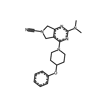 CN(C)c1nc2c(c(N3CCC(Oc4ccccc4)CC3)n1)CN(C#N)C2